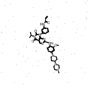 C=CC(=O)Nc1cccc(-n2c(=O)n(C(C)C)c(=O)c3cnc(Nc4ccc(N5CCC(N6CCN(C)CC6)CC5)cc4OC)nc32)c1